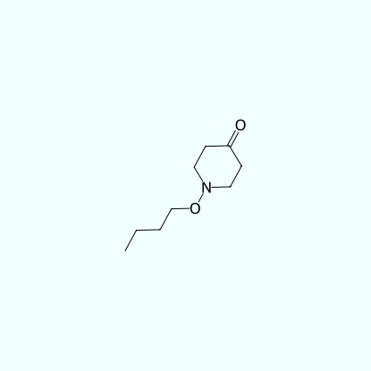 CCCCON1CCC(=O)CC1